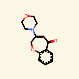 O=C1C=C(N2CCOCC2)COc2ccccc21